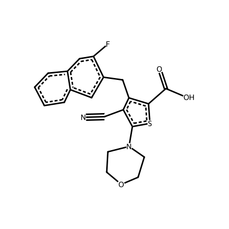 N#Cc1c(N2CCOCC2)sc(C(=O)O)c1Cc1cc2ccccc2cc1F